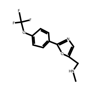 CNCc1cnc(-c2ccc(OC(F)(F)F)cc2)o1